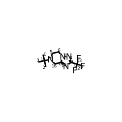 CC(C)(C)N1CCn2nc(C(F)(F)F)nc2C1